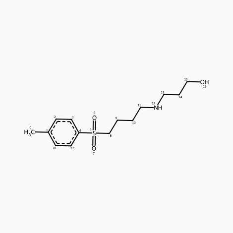 Cc1ccc(S(=O)(=O)CCCCNCCCO)cc1